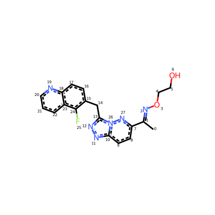 CC(=NOCCO)c1ccc2nnc(Cc3ccc4ncccc4c3F)n2n1